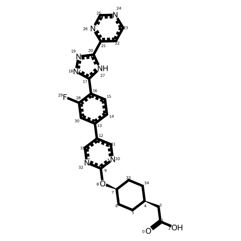 O=C(O)C[C@H]1CC[C@@H](Oc2ncc(-c3ccc(-c4nnc(-c5ccncn5)[nH]4)c(F)c3)cn2)CC1